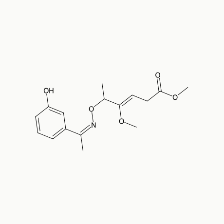 COC(=O)C/C=C(\OC)C(C)O/N=C(/C)c1cccc(O)c1